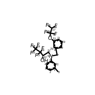 Cc1cccc(N(Cc2cccc(OC(F)(F)C(F)F)c2)C[C@@H](O)C(F)(F)C(F)(F)F)c1